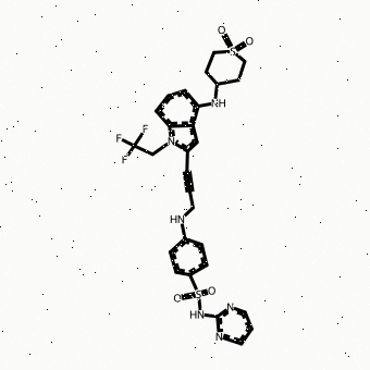 O=S1(=O)CCC(Nc2cccc3c2cc(C#CCNc2ccc(S(=O)(=O)Nc4ncccn4)cc2)n3CC(F)(F)F)CC1